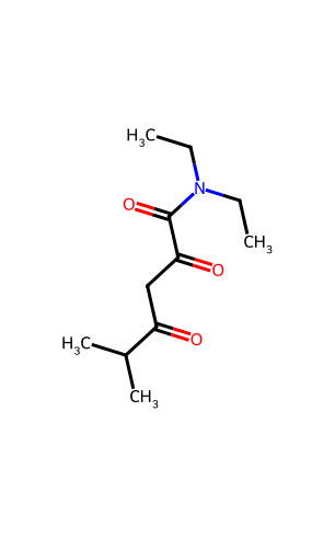 CCN(CC)C(=O)C(=O)CC(=O)C(C)C